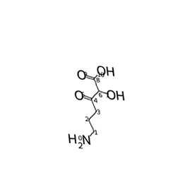 NCCCC(=O)C(O)C(=O)O